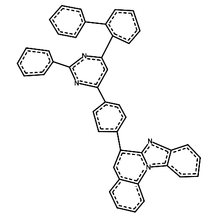 c1ccc(-c2nc(-c3ccc(-c4cc5ccccc5n5c4nc4ccccc45)cc3)cc(-c3ccccc3-c3ccccc3)n2)cc1